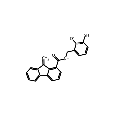 C=C1c2ccccc2-c2cccc(C(=O)NCc3cccc(S)[n+]3[O-])c21